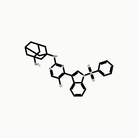 NC12CC3CC(C1)CC(Nc1ncc(Cl)c(-c4cn(S(=O)(=O)c5ccccc5)c5ccccc45)n1)(C3)C2